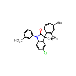 CC1=C(C2(C)C(=O)N(c3cccc(C(=O)O)c3)c3ccc(Cl)cc32)CC=CC(C(C)(C)C)=C1